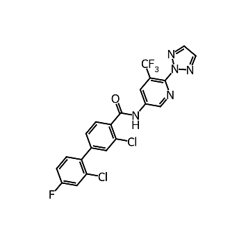 O=C(Nc1cnc(-n2nccn2)c(C(F)(F)F)c1)c1ccc(-c2ccc(F)cc2Cl)cc1Cl